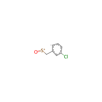 O=[S+]Cc1[c]ccc(Cl)c1